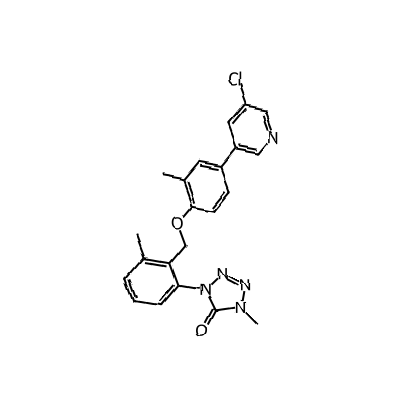 Cc1cc(-c2cncc(Cl)c2)ccc1OCc1c(C)cccc1-n1nnn(C)c1=O